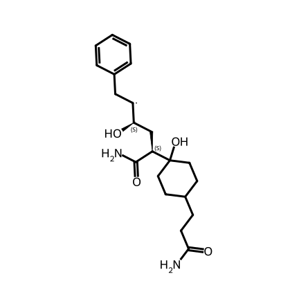 NC(=O)CCC1CCC(O)([C@H](C[C@@H](O)[CH]Cc2ccccc2)C(N)=O)CC1